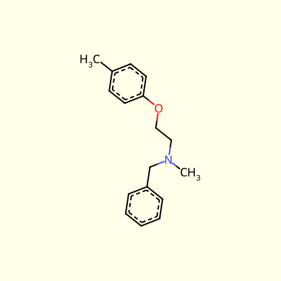 Cc1ccc(OCCN(C)Cc2ccccc2)cc1